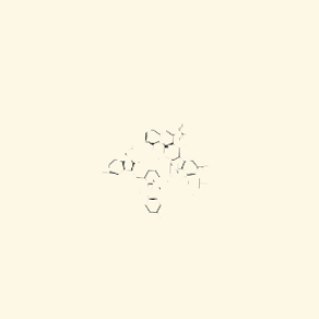 Cc1c(Cc2cc3ccccc3cc2S(C)(=O)=O)c2cc(F)ccc2n1CC(=O)O.Cc1ccc(Oc2ncccc2Cc2c(C)n(CC(=O)O)c3ccc(F)cc23)cc1